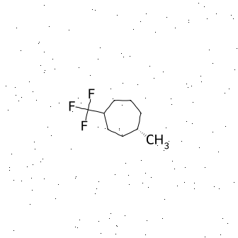 C[C@H]1CCCC(C(F)(F)F)CC1